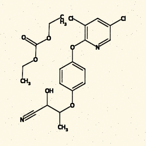 CC(Oc1ccc(Oc2ncc(Cl)cc2Cl)cc1)C(O)C#N.CCOC(=O)OCC